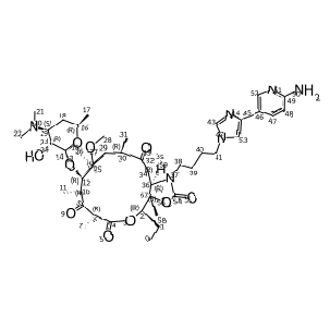 CC[C@H]1OC(=O)[C@H](C)C(=O)[C@H](C)[C@@H](OC2O[C@H](C)C[C@H](N(C)C)[C@H]2O)[C@@](C)(OC)C[C@@H](C)C(=O)[C@H](C)[C@H]2N(CCCCn3cnc(-c4ccc(N)nc4)c3)C(=O)O[C@]12C